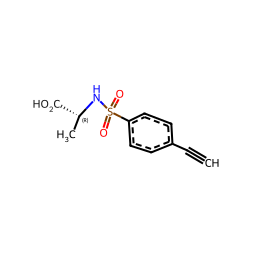 C#Cc1ccc(S(=O)(=O)N[C@H](C)C(=O)O)cc1